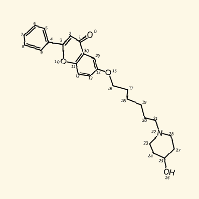 O=c1cc(-c2ccccc2)oc2ccc(OCCCCCCN3CCC(O)CC3)cc12